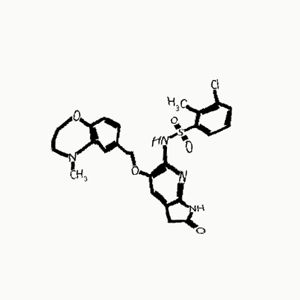 Cc1c(Cl)cccc1S(=O)(=O)Nc1nc2c(cc1OCc1ccc3c(c1)N(C)CCO3)CC(=O)N2